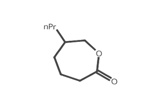 CCCC1CCCC(=O)OC1